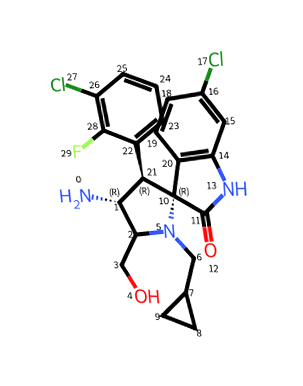 N[C@H]1C(CO)N(CC2CC2)[C@]2(C(=O)Nc3cc(Cl)ccc32)[C@@H]1c1cccc(Cl)c1F